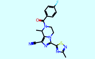 Cc1nsc(-c2nc(C#N)c3n2CCN(C(=O)c2ccc(F)cc2)C3C)n1